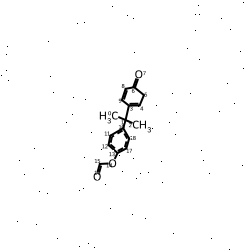 CC(C)(C1=CCC(=O)C=C1)c1ccc(OC=O)cc1